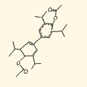 CC(=O)Oc1c(C(C)C)cc(C2=CC(C(C)C)C(OC(C)=O)C(C(C)C)=C2)cc1C(C)C